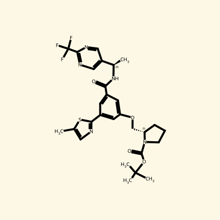 Cc1cnc(-c2cc(OC[C@@H]3CCCN3C(=O)OC(C)(C)C)cc(C(=O)N[C@H](C)c3cnc(C(F)(F)F)nc3)c2)s1